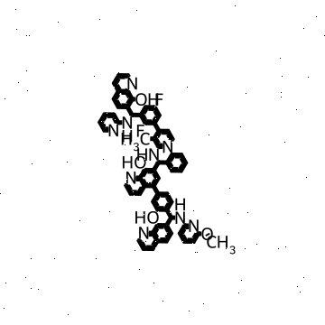 COc1cccc(NC(c2ccc(-c3cc(C(Nc4nccc(-c5cc(F)cc(C(Nc6ccccn6)c6ccc7cccnc7c6O)c5F)c4C)c4ccccc4)c(O)c4ncccc34)cc2)c2ccc3cccnc3c2O)n1